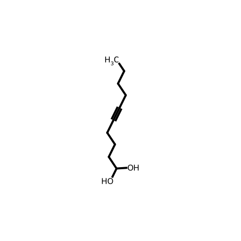 CCCCC#CCCCC(O)O